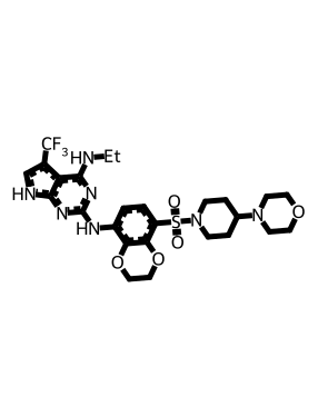 CCNc1nc(Nc2ccc(S(=O)(=O)N3CCC(N4CCOCC4)CC3)c3c2OCCO3)nc2[nH]cc(C(F)(F)F)c12